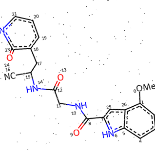 COc1cccc2[nH]c(C(=O)NCC(=O)NC(C#N)Cc3ccc[nH]c3=O)cc12